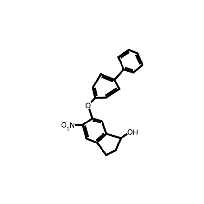 O=[N+]([O-])c1cc2c(cc1Oc1ccc(-c3ccccc3)cc1)C(O)CC2